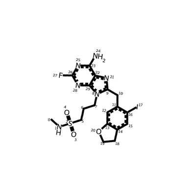 CNS(=O)(=O)CCCn1c(Cc2cc3c(cc2I)CCO3)nc2c(N)nc(F)nc21